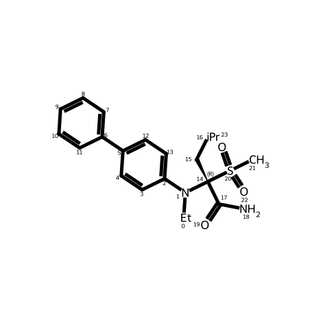 CCN(c1ccc(-c2ccccc2)cc1)[C@@](CC(C)C)(C(N)=O)S(C)(=O)=O